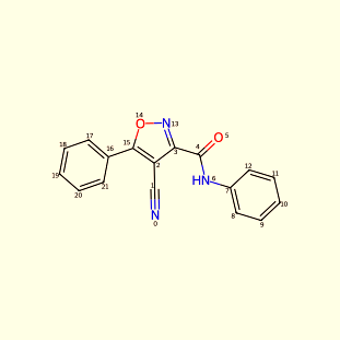 N#Cc1c(C(=O)Nc2ccccc2)noc1-c1ccccc1